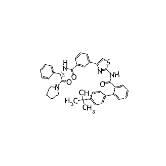 CC(C)(C)c1ccc(-c2ccccc2C(=O)Nc2nc(-c3cccc(C(=O)N[C@H](C(=O)N4CCCC4)c4ccccc4)c3)cs2)cc1